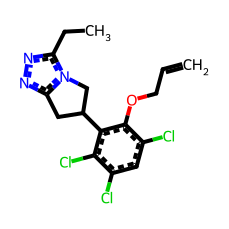 C=CCOc1c(Cl)cc(Cl)c(Cl)c1C1Cc2nnc(CC)n2C1